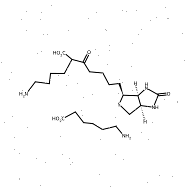 NCCCCC(C(=O)O)C(=O)CCCC[C@@H]1SC[C@@H]2NC(=O)N[C@@H]21.NCCCCCC(=O)O